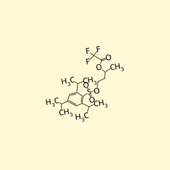 CC(CCOS(=O)(=O)c1c(C(C)C)cc(C(C)C)cc1C(C)C)OC(=O)C(F)(F)F